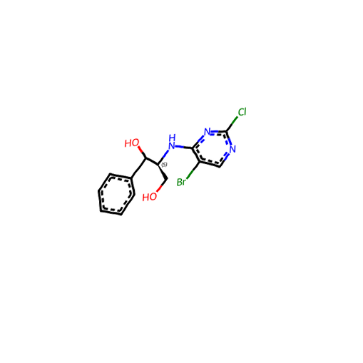 OC[C@H](Nc1nc(Cl)ncc1Br)C(O)c1ccccc1